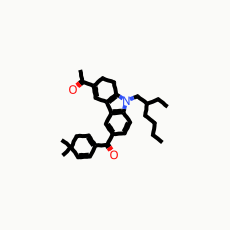 CCCCC(CC)Cn1c2c(c3cc(C(=O)C4=CCC(C)(C)C=C4)ccc31)C=C(C(C)=O)CC2